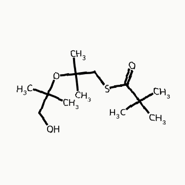 CC(C)(CO)OC(C)(C)CSC(=O)C(C)(C)C